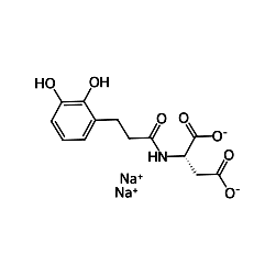 O=C([O-])C[C@H](NC(=O)CCc1cccc(O)c1O)C(=O)[O-].[Na+].[Na+]